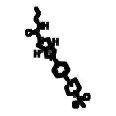 CCCNC(=O)N1C[C@@H]2CN(c3ccc(N4CCN(S(C)(=O)=O)CC4)cc3)C[C@@H]2C1